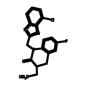 O=C(O)CC1Cc2cc(F)ccc2N(Cc2nc3c(Cl)cccc3s2)C1=O